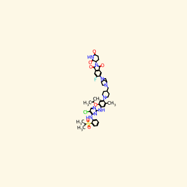 Cc1cc(Nc2ncc(Cl)c(Nc3ccccc3S(=O)(=O)C(C)C)n2)c(OC(C)C)cc1N1CCC(CN2CC3CC2CN3c2cc3c(cc2F)C(=O)N(C2CCC(=O)NC2=O)C3=O)CC1